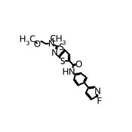 COCCN(C)c1nc2sc(C(=O)Nc3ccc(-c4ccc(F)nc4)cc3)cc2s1